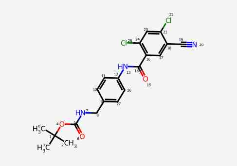 CC(C)(C)OC(=O)NCc1ccc(NC(=O)c2cc(C#N)c(Cl)cc2Cl)cc1